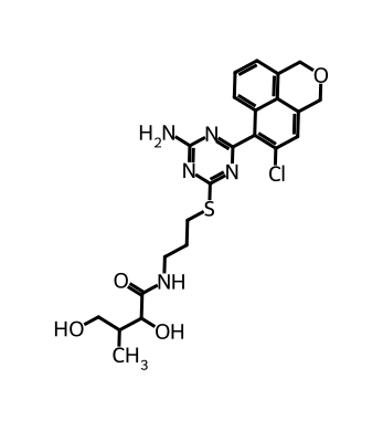 CC(CO)C(O)C(=O)NCCCSc1nc(N)nc(-c2c(Cl)cc3c4c(cccc24)COC3)n1